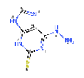 NNc1nc(=S)[nH]c2[nH]cnc12